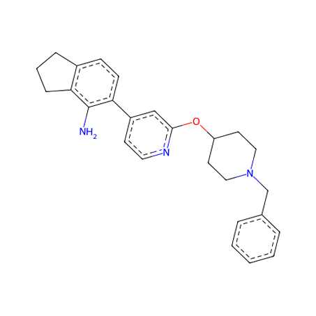 Nc1c(-c2ccnc(OC3CCN(Cc4ccccc4)CC3)c2)ccc2c1CCC2